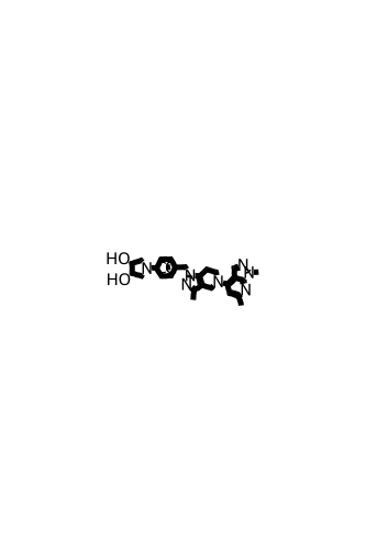 Cc1cc(N2CCc3c(c(C)nn3CC34CCC(N5C[C@@H](O)[C@@H](O)C5)(CC3)CC4)C2)c2cnn(C)c2n1